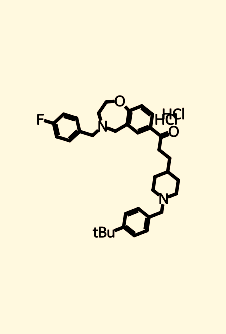 CC(C)(C)c1ccc(CN2CCC(CCC(=O)c3ccc4c(c3)CN(Cc3ccc(F)cc3)CCO4)CC2)cc1.Cl.Cl